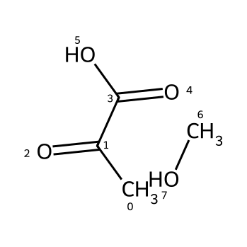 CC(=O)C(=O)O.CO